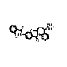 CNC1CCC(Cl)N(C(=O)c2ccc(NC(=O)c3ccccc3Cl)cc2)c2ccccc21